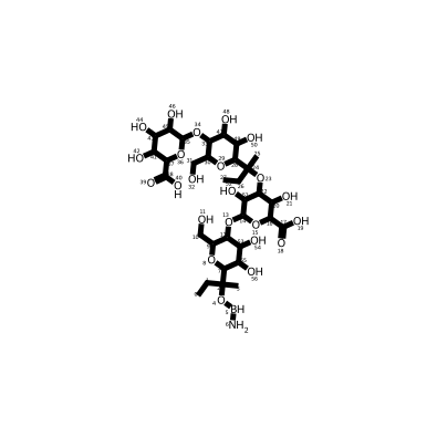 CCC(C)(OBN)C1OC(CO)C(OC2OC(C(=O)O)C(O)C(OC(C)(CC)C3OC(CO)C(OC4OC(C(=O)O)C(O)C(O)C4O)C(O)C3O)C2O)C(O)C1O